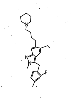 CCc1cc2c(Cc3ccc(C)cc3F)n(C)nc2cc1CCCCN1CCCCC1